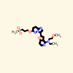 CCN(CCOC)c1nccc2oc(-c3cnc4ccc(OCCCS(C)(=O)=O)nn34)cc12